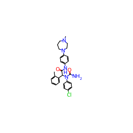 Cc1ccccc1C(C(=O)Nc1ccc(N2CCCN(C)CC2)cc1)N(C(N)=O)c1ccc(Cl)cc1